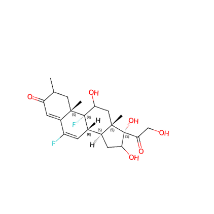 CC1C[C@@]2(C)C(=CC1=O)C(F)=C[C@H]1[C@@H]3CC(O)[C@](O)(C(=O)CO)[C@@]3(C)CC(O)[C@@]12F